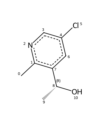 Cc1ncc(Cl)cc1[C@@H](C)O